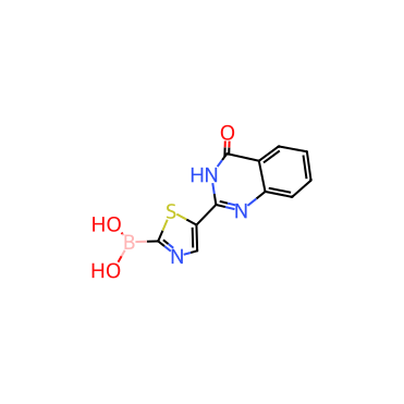 O=c1[nH]c(-c2cnc(B(O)O)s2)nc2ccccc12